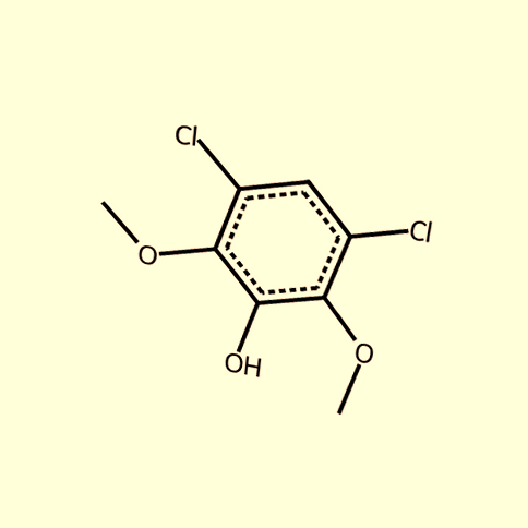 COc1c(Cl)cc(Cl)c(OC)c1O